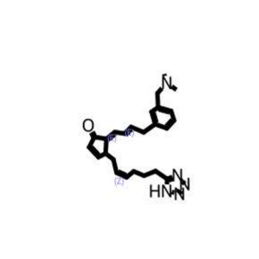 CN(C)Cc1cccc(C/C=C/C=C2/C(=O)C=CC2C/C=C\CCCc2nnn[nH]2)c1